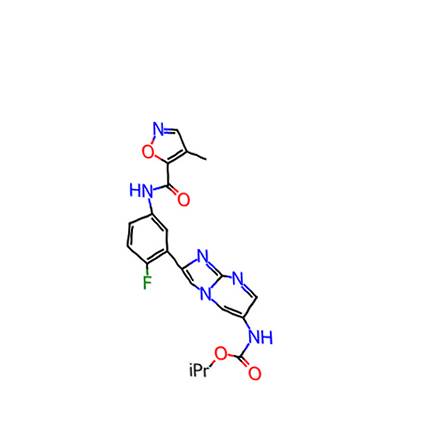 Cc1cnoc1C(=O)Nc1ccc(F)c(-c2cn3cc(NC(=O)OC(C)C)cnc3n2)c1